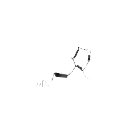 CCCCC=Cc1ccncc1Br